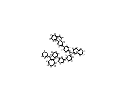 C1=CCCC(n2c3c(c4c(-c5cccc(-c6cccc(N(c7ccc(-c8ccc9c(ccc%10ccccc%109)c8)cc7)c7ccc8ccccc8c7)c6)c5)cccc42)C=CCC=C3)=C1